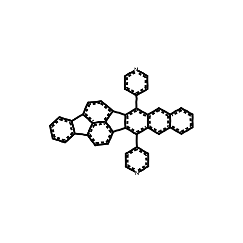 c1ccc2c(c1)-c1ccc3c4c(ccc-2c14)-c1c-3c(-c2ccncc2)c2cc3ccccc3cc2c1-c1ccncc1